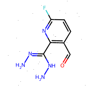 N/N=C(\NN)c1nc(F)ccc1C=O